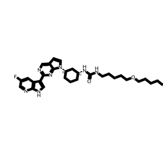 CCCCCOCCCCCNC(=O)N[C@@H]1CCC[C@H](n2ccc3cnc(-c4c[nH]c5ncc(F)cc45)nc32)C1